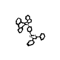 c1ccc(-c2cc(-c3ccccc3)nc(-c3ccc(-n4c5ccc6ccccc6c5c5c6ccccc6c6ccccc6c54)cc3)n2)cc1